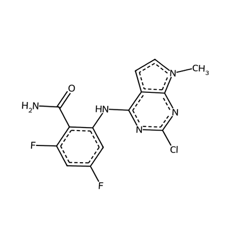 Cn1ccc2c(Nc3cc(F)cc(F)c3C(N)=O)nc(Cl)nc21